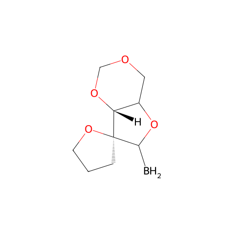 BC1OC2COCO[C@H]2[C@@]12CCCO2